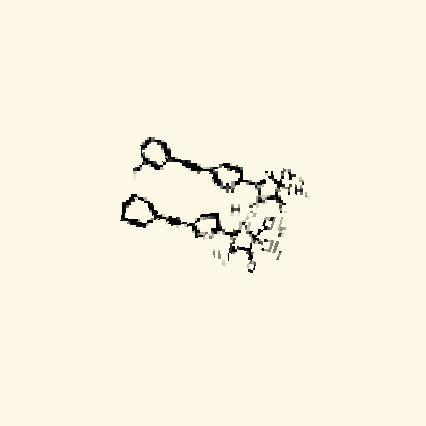 CN1C(=O)C(C)(C)N=C1c1ccc(C#Cc2cccc(F)c2)cn1.CN1C(=O)C(C)(C)N=C1c1ccc(C#Cc2ccccc2)cn1